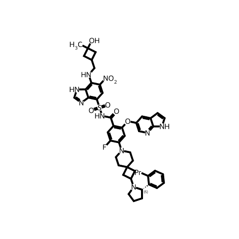 CC(C)c1ccccc1[C@@H]1CCCN1C1CC2(CCN(c3cc(Oc4cnc5[nH]ccc5c4)c(C(=O)NS(=O)(=O)c4cc([N+](=O)[O-])c(NCC5CC(C)(O)C5)c5[nH]cnc45)cc3F)CC2)C1